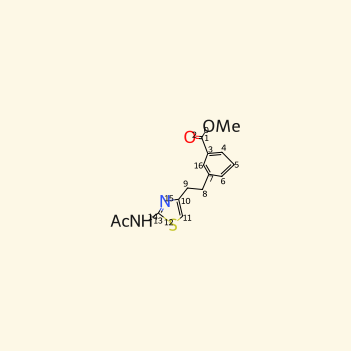 COC(=O)c1cccc(CCc2csc(NC(C)=O)n2)c1